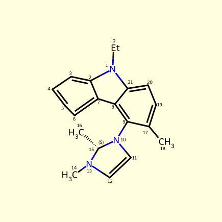 CCn1c2ccccc2c2c(N3C=CN(C)[C@@H]3C)c(C)ccc21